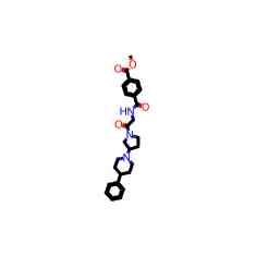 COC(=O)c1ccc(C(=O)NCC(=O)N2CCC(N3CCC(c4ccccc4)CC3)C2)cc1